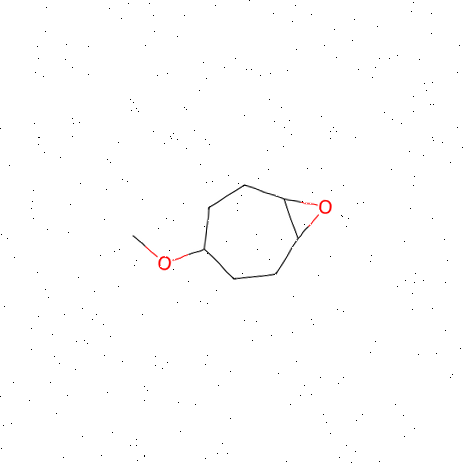 COC1CCC2OC2CC1